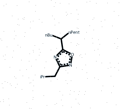 CCCCCC(CCCC)c1nc(CC(C)C)no1